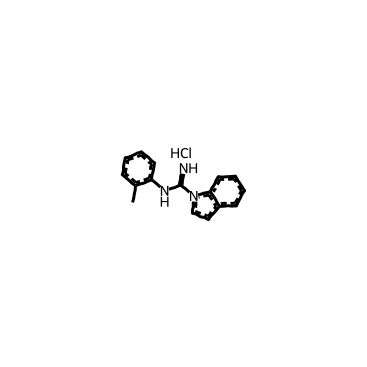 Cc1ccccc1NC(=N)n1ccc2ccccc21.Cl